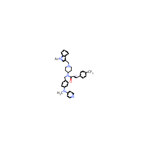 CC(=O)n1cc(CN2CCC(N(Cc3ccc(N(C)c4ccncc4)cc3)C(=O)/C=C/c3ccc(C(F)(F)F)cc3)CC2)c2ccccc21